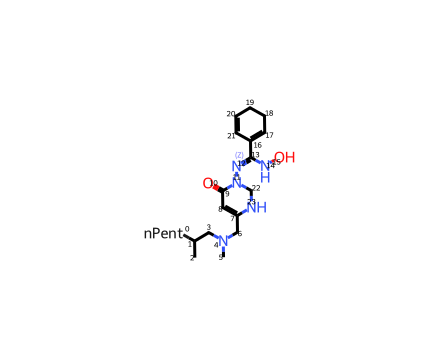 CCCCCC(C)CN(C)CC1=CC(=O)N(/N=C(\NO)C2=CCCC=C2)CN1